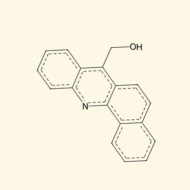 OCc1c2ccccc2nc2c1ccc1ccccc12